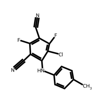 Cc1ccc(Nc2c(Cl)c(F)c(C#N)c(F)c2C#N)cc1